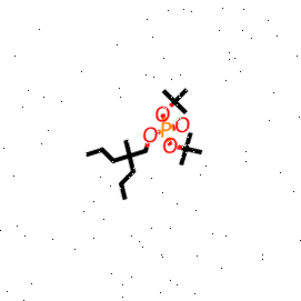 CCCC(C)(CCC)COP(=O)(OC(C)(C)C)OC(C)(C)C